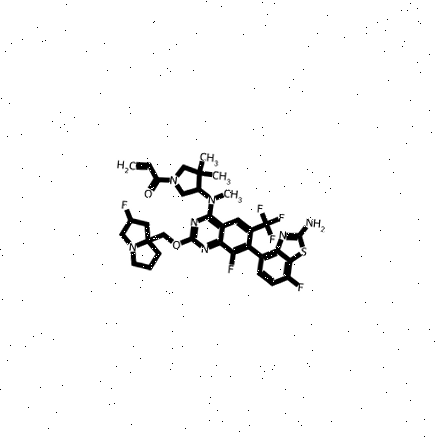 C=CC(=O)N1CC(N(C)c2nc(OCC34CCCN3CC(F)C4)nc3c(F)c(-c4ccc(F)c5sc(N)nc45)c(C(F)(F)F)cc23)C(C)(C)C1